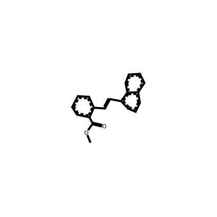 COC(=O)c1ccccc1C=Cc1cccc2ccccc12